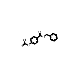 O=C(Cl)Oc1ccc(C(=O)OCc2ccccc2)cc1